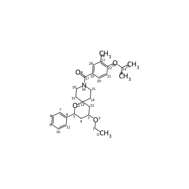 CCOC1CC(c2ccccc2)OC2(CCN(C(=O)c3ccc(OC(C)C)c(C)c3)CC2)C1